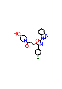 O=C(CCc1oc(-n2cnc3ccccc32)nc1-c1ccc(F)cc1)N1CCC(O)CC1